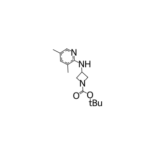 Cc1cnc(NC2CN(C(=O)OC(C)(C)C)C2)c(C)c1